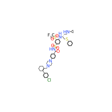 O=C(NS(=O)(=O)c1ccc(N[C@H](CCNC2CC2)CSc2ccccc2)c(S(=O)(=O)C(F)(F)F)c1)c1ccc(N2CCN(CC3=C(c4ccc(Cl)cc4)CCCC3)CC2)cc1